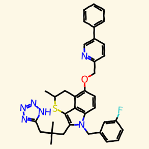 CC1Cc2c(OCc3ccc(-c4ccccc4)cn3)ccc3c2c(c(CC(C)(C)Cc2nnn[nH]2)n3Cc2cccc(F)c2)S1